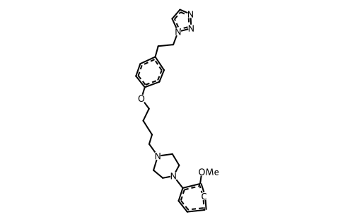 COc1ccccc1N1CCN(CCCCOc2ccc(CCn3ccnn3)cc2)CC1